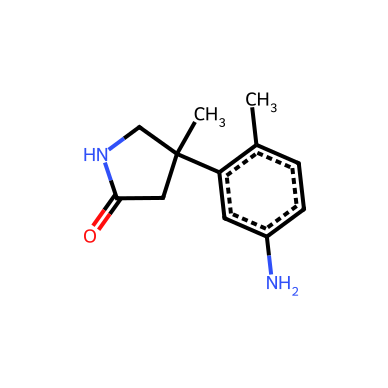 Cc1ccc(N)cc1C1(C)CNC(=O)C1